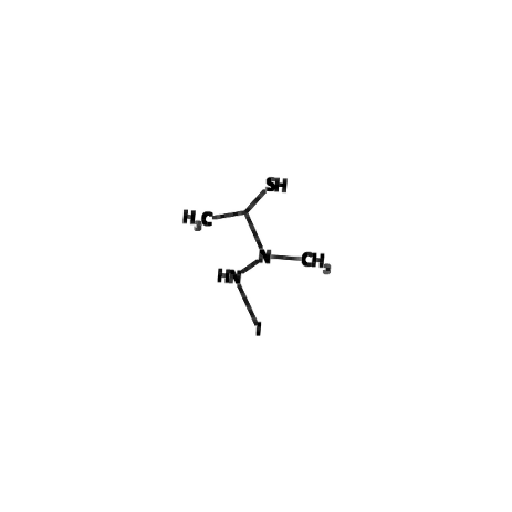 CC(S)N(C)NI